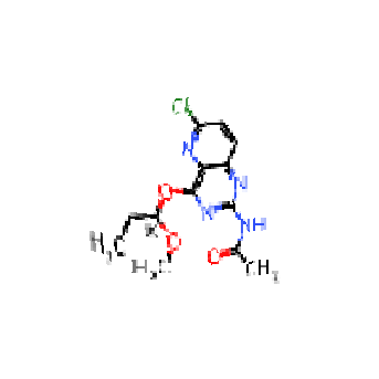 CC[C@H](OC)Oc1nc(NC(C)=O)nc2ccc(Cl)nc12